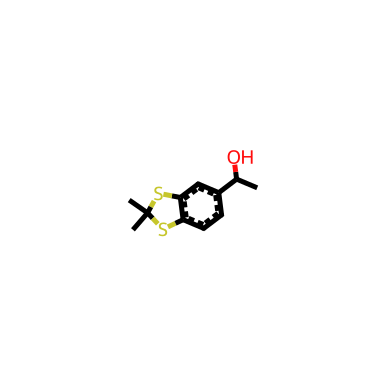 CC(O)c1ccc2c(c1)SC(C)(C)S2